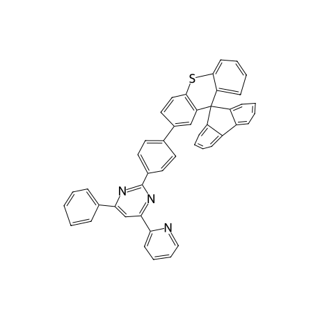 c1ccc(-c2cc(-c3ccccn3)nc(-c3ccc(-c4ccc5c(c4)C4(c6ccccc6S5)c5ccccc5-c5ccccc54)cc3)n2)cc1